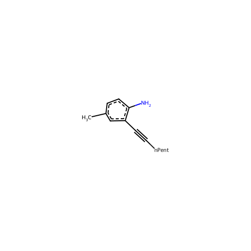 CCCCCC#Cc1cc(C)ccc1N